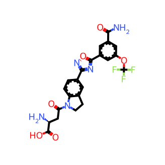 NC(=O)c1cc(OC(F)(F)F)cc(-c2nc(-c3ccc4c(c3)CCN4C(=O)C[C@H](N)C(=O)O)no2)c1